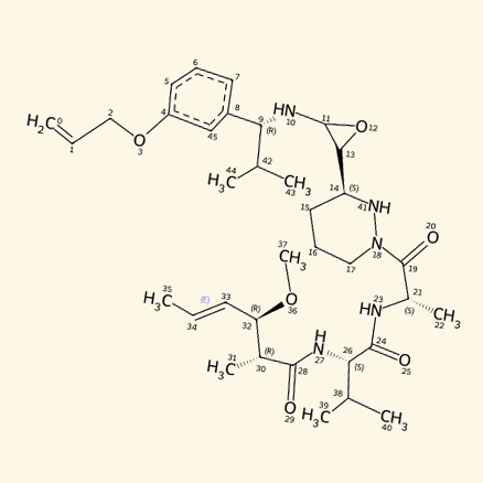 C=CCOc1cccc([C@H](NC2OC2[C@@H]2CCCN(C(=O)[C@H](C)NC(=O)[C@@H](NC(=O)[C@H](C)[C@@H](/C=C/C)OC)C(C)C)N2)C(C)C)c1